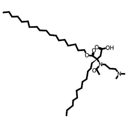 CCCCCCCCCCCCCCCCCCOC(=O)[C@](CCCCCCCCCCCC)(CC(=O)O)N(CCCN(C)C)C(C)=O